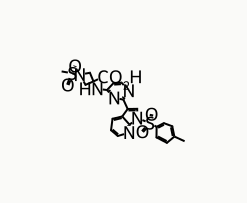 Cc1ccc(S(=O)(=O)n2cc(-c3nccc(NC4(C(=O)O)CN(S(C)(=O)=O)C4)n3)c3cccnc32)cc1